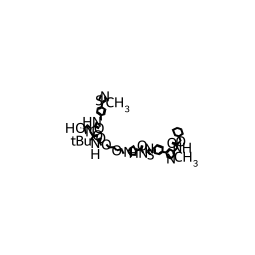 Cc1ncc(-c2ccc3nc(NC(=O)C4CCN(CCOCCOCC(=O)N[C@H](C(=O)N5C[C@H](O)C[C@H]5C(=O)NCc5ccc(-c6scnc6C)cc5)C(C)(C)C)CC4)sc3c2)cc1NC(=O)OC1CCCCC1